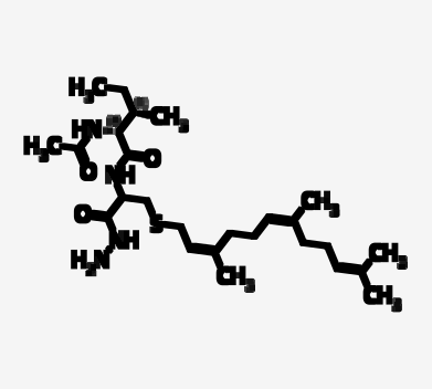 CC[C@@H](C)[C@@H](NC(C)=O)C(=O)NC(CSCC=C(C)CCC=C(C)CCC=C(C)C)C(=O)NN